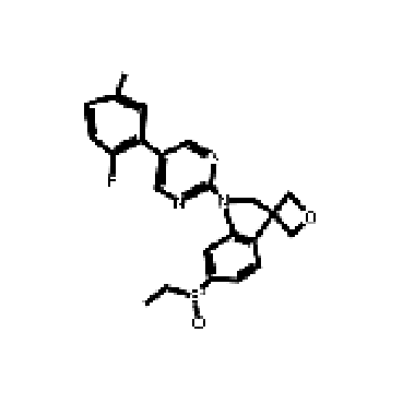 CC[S+]([O-])c1ccc2c(c1)N(c1ncc(-c3cc(C)ccc3F)cn1)CC21COC1